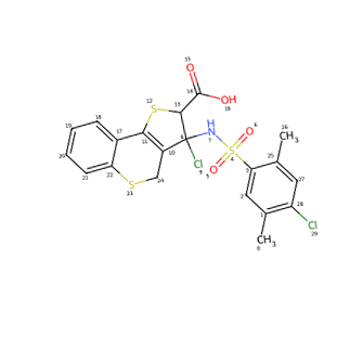 Cc1cc(S(=O)(=O)NC2(Cl)C3=C(SC2C(=O)O)c2ccccc2SC3)c(C)cc1Cl